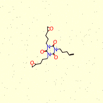 C=CCCCn1c(=O)n(CCCC2CO2)c(=O)n(CCCC2CO2)c1=O